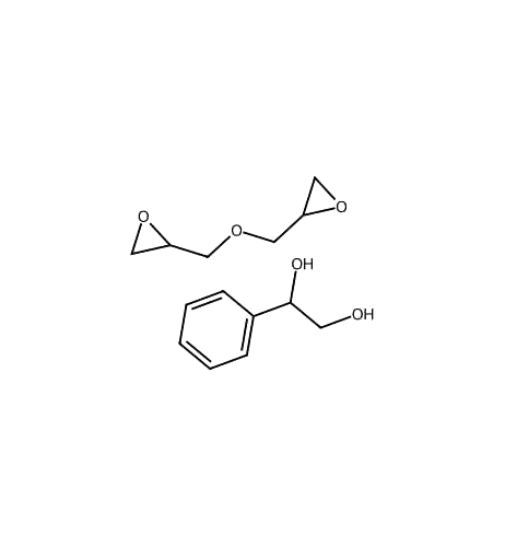 C(OCC1CO1)C1CO1.OCC(O)c1ccccc1